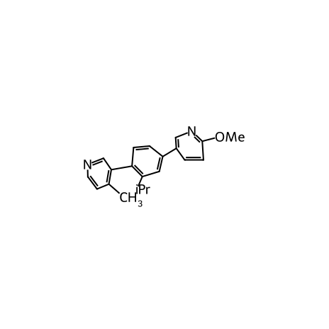 COc1ccc(-c2ccc(-c3cnccc3C)c(C(C)C)c2)cn1